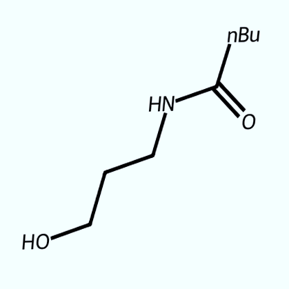 CCCCC(=O)NCCCO